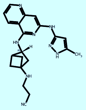 Cc1cc(Nc2cc3ncccc3c(N[C@@H]3CC4(NCCC#N)CC3C4)n2)n[nH]1